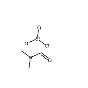 CN(C)C=O.[O-][S+](Cl)Cl